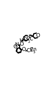 O=C(O)C1(CN2CCC(COc3noc4cccc(OCC(F)(F)F)c34)CC2)CCOCC1.[Zn]